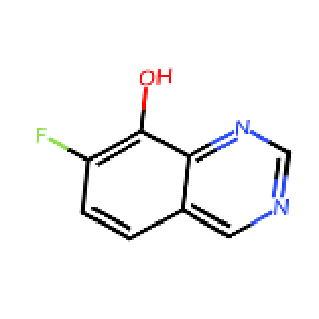 Oc1c(F)ccc2cncnc12